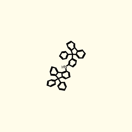 c1ccc(C2(c3cccc(Nc4cccc5c4-c4ccccc4C5(c4ccccc4)c4ccccc4)c3)c3ccccc3-c3ccccc32)cc1